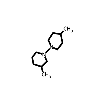 CC1CCN(N2CCCC(C)C2)CC1